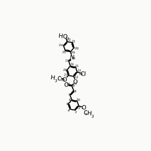 COc1cccc(C=CC(=O)Oc2c(Cl)cc(/C=N/c3ccc(O)cc3)cc2OC)c1